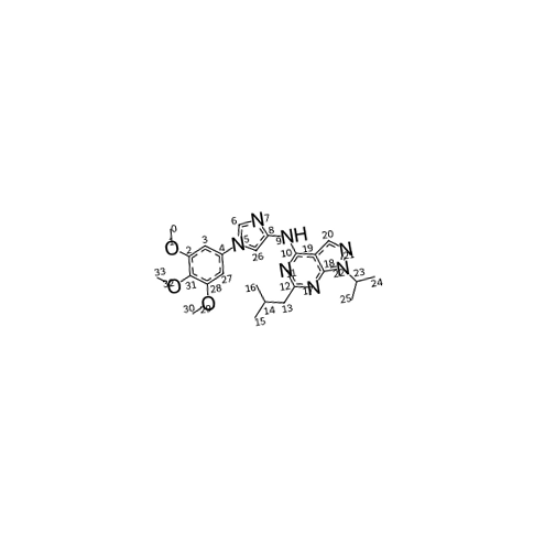 COc1cc(-n2cnc(Nc3nc(CC(C)C)nc4c3cnn4C(C)C)c2)cc(OC)c1OC